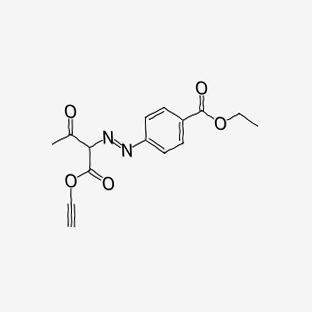 C#COC(=O)C(N=Nc1ccc(C(=O)OCC)cc1)C(C)=O